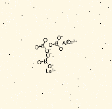 [Al+3].[Ce+3].[La+3].[O-]B([O-])[O-].[O-]B([O-])[O-].[O-]B([O-])[O-]